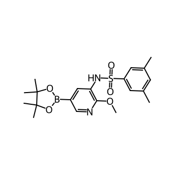 COc1ncc(B2OC(C)(C)C(C)(C)O2)cc1NS(=O)(=O)c1cc(C)cc(C)c1